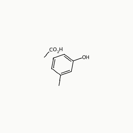 CC(=O)O.Cc1cccc(O)c1